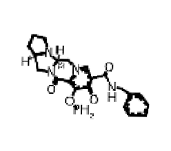 O=C(NCc1ccccc1)c1cn2c(c(OP)c1=O)C(=O)N1C[C@H]3CCCN3[C@@H]1C2